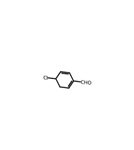 O=CC1=CCC(Cl)C=C1